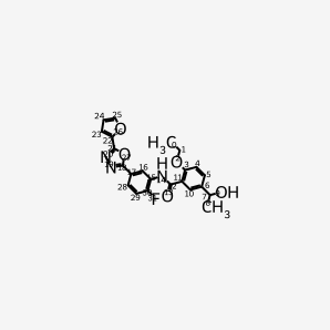 CCOc1ccc(C(C)O)cc1C(=O)Nc1cc(-c2nnc(-c3ccco3)o2)ccc1F